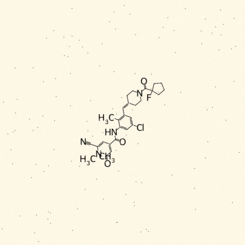 Cc1c(C=C2CCN(C(=O)C3(F)CCCC3)CC2)cc(Cl)cc1NC(=O)C(/C=C(/C#N)N(C)C)=C/C=O